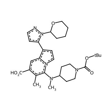 Cc1c(C(=O)O)cc2c(-c3ccnn3C3CCCCO3)ccn2c1N(C)C1CCN(C(=O)OC(C)(C)C)CC1